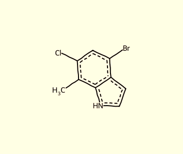 Cc1c(Cl)cc(Br)c2cc[nH]c12